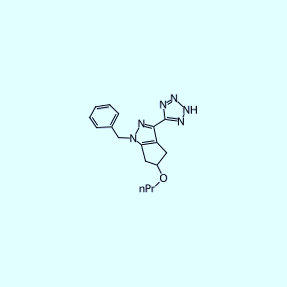 CCCOC1Cc2c(-c3nn[nH]n3)nn(Cc3ccccc3)c2C1